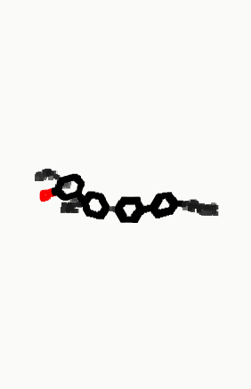 CCCCCc1ccc(-c2ccc([C@H]3CC[C@@](C#N)([C@@H]4CC[C@@H](CCC)C(=O)C4)CC3)cc2)cc1